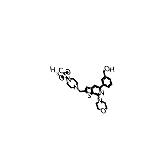 CS(=O)(=O)N1CCN(Cc2cc3cc(-c4cccc(CO)c4)nc(N4CCOCC4)c3s2)CC1